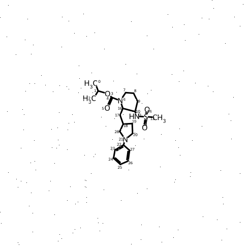 CC(C)OC(=O)N1CCCC(NS(C)(=O)=O)C1CC1CCN(c2ccccc2)C1